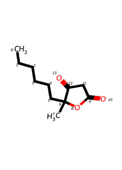 CCCCCCC1(C)OC(=O)CC1=O